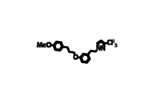 COc1ccc(CCCOc2cccc(CCn3ccc(C(F)(F)F)n3)c2)cc1